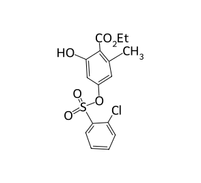 CCOC(=O)c1c(C)cc(OS(=O)(=O)c2ccccc2Cl)cc1O